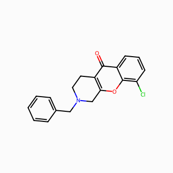 O=c1c2c(oc3c(Cl)cccc13)CN(Cc1ccccc1)CC2